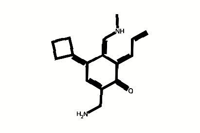 C=C/C=C1/C(=O)C(CN)=CC(=C2CCC2)/C1=C/NC